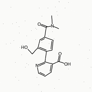 CN(C)C(=O)c1ccc(-c2ncccc2C(=O)O)c(CO)c1